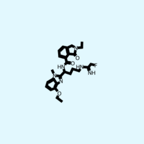 CCOc1cccc2c1nc(C(CCCNC(=N)CF)NC(=O)c1cccc3c1C(=O)N(CC)C3)n2C